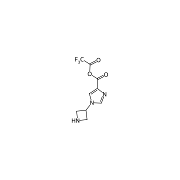 O=C(OC(=O)C(F)(F)F)c1cn(C2CNC2)cn1